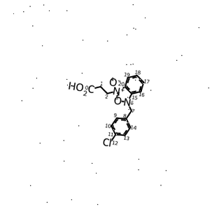 O=C(O)CC[N+]1([O-])ON(Cc2ccc(Cl)cc2)c2ccccc21